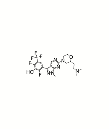 CN(C)CCC1CN(c2ncc3c(-c4cc(C(F)(F)F)c(F)c(O)c4F)nn(C)c3n2)CCO1